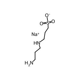 NCCCNCCCS(=O)(=O)[O-].[Na+]